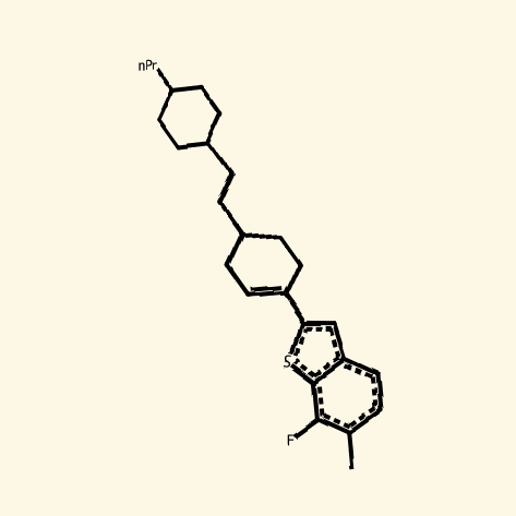 CCCC1CCC(CCC2CC=C(c3cc4ccc(C)c(F)c4s3)CC2)CC1